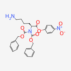 NCCCC[C@@H](C(=O)Oc1ccc([N+](=O)[O-])cc1)N(C(=O)OCc1ccccc1)C(=O)OCc1ccccc1